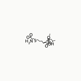 CCOP(=O)(C/C(=C\CCCSCC(N)C(=O)OC)C(=O)O)CC(C)C